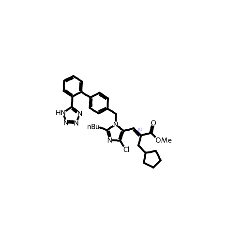 CCCCc1nc(Cl)c(/C=C(\CC2CCCC2)C(=O)OC)n1Cc1ccc(-c2ccccc2-c2nnn[nH]2)cc1